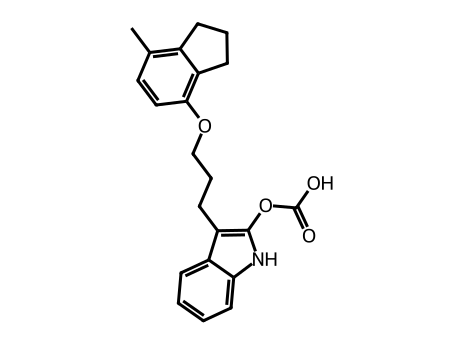 Cc1ccc(OCCCc2c(OC(=O)O)[nH]c3ccccc23)c2c1CCC2